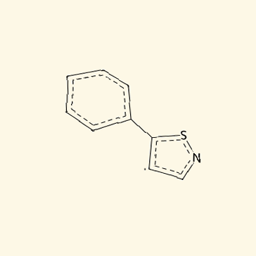 [c]1cnsc1-c1ccccc1